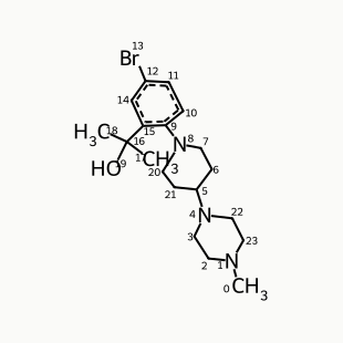 CN1CCN(C2CCN(c3ccc(Br)cc3C(C)(C)O)CC2)CC1